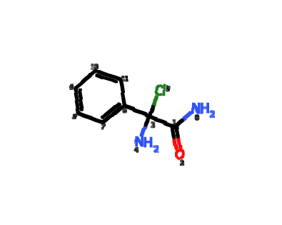 NC(=O)C(N)(Cl)c1ccccc1